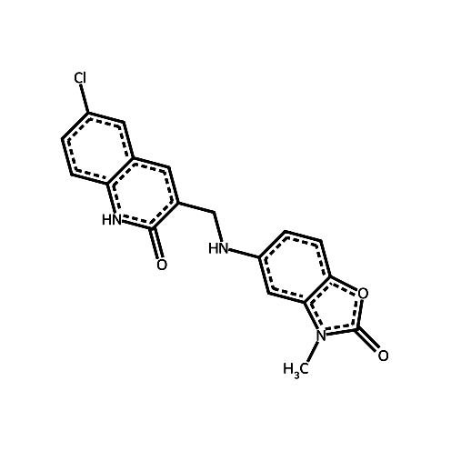 Cn1c(=O)oc2ccc(NCc3cc4cc(Cl)ccc4[nH]c3=O)cc21